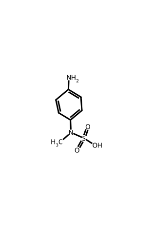 CN(c1ccc(N)cc1)S(=O)(=O)O